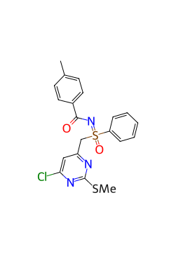 CSc1nc(Cl)cc(CS(=O)(=NC(=O)c2ccc(C)cc2)c2ccccc2)n1